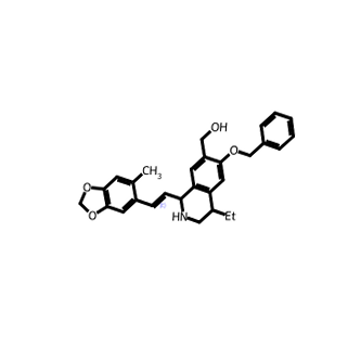 CCC1CNC(/C=C/c2cc3c(cc2C)OCO3)c2cc(CO)c(OCc3ccccc3)cc21